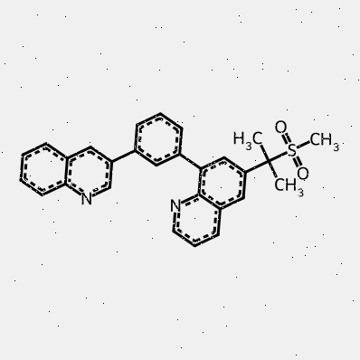 CC(C)(c1cc(-c2cccc(-c3cnc4ccccc4c3)c2)c2ncccc2c1)S(C)(=O)=O